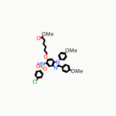 COC(=O)CCCCCOc1cc2c(cc1NS(=O)(=O)c1ccc(Cl)cc1)nc(-c1ccc(OC)cc1)n2-c1ccc(OC)cc1